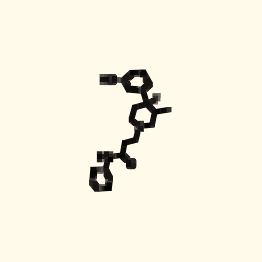 CC1CN(CCC(=O)Nc2ccccc2)CCC1(F)c1cccc(O)c1